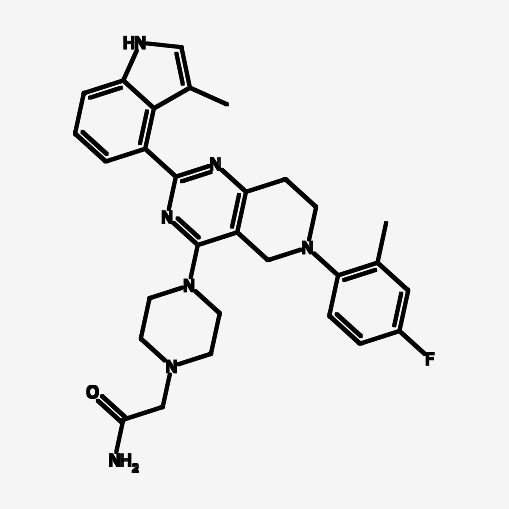 Cc1cc(F)ccc1N1CCc2nc(-c3cccc4[nH]cc(C)c34)nc(N3CCN(CC(N)=O)CC3)c2C1